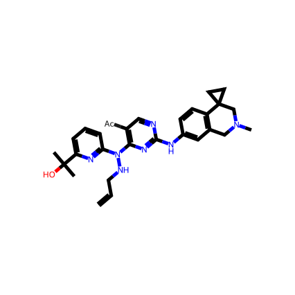 C=CCNN(c1cccc(C(C)(C)O)n1)c1nc(Nc2ccc3c(c2)CN(C)CC32CC2)ncc1C(C)=O